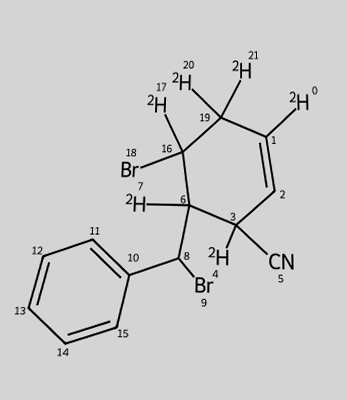 [2H]C1=CC([2H])(C#N)C([2H])(C(Br)c2ccccc2)C([2H])(Br)C1([2H])[2H]